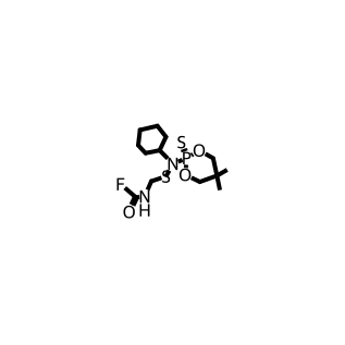 CC1(C)COP(=S)(N(SCNC(=O)F)C2CCCCC2)OC1